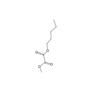 CCCCCOC(=O)C(=O)OC